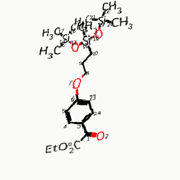 CCOC(=O)C(=O)c1ccc(OCCC[Si](C)(O[Si](C)(C)C)O[Si](C)(C)C)cc1